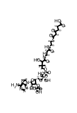 CC(C)(COP(=O)(O)OP(=O)(O)OC[C@H]1O[C@@H](n2cnc3c(N)ncnc32)[C@H](O)[C@@H]1OP(=O)(O)O)C(O)C(=O)NCCC(=O)NCCSC(=O)CC(=O)CCC(=O)O